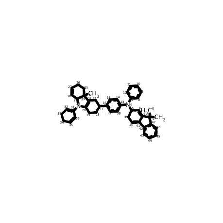 CC1(C)C2=CC(N(c3ccccc3)c3ccc(C4CCC5=C(C4)C4(C)CCC=CC4N5C4=CCCC=C4)cc3)CC=C2c2ccccc21